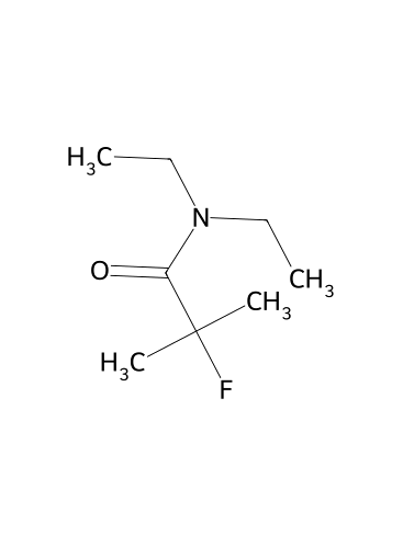 CCN(CC)C(=O)C(C)(C)F